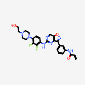 C=CC(=O)Nc1cccc(-c2noc3cnc(Nc4ccc(N5CCN(CCO)CC5)c(F)c4F)nc23)c1